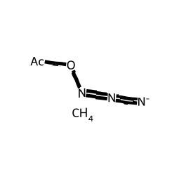 C.CC(=O)ON=[N+]=[N-]